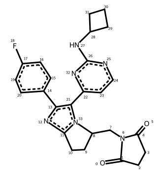 O=C1CCC(=O)N1CC1CCc2nc(-c3ccc(F)cc3)c(-c3ccnc(NC4CCC4)n3)n21